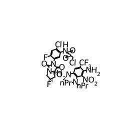 CCCN(CCC)c1c([N+](=O)[O-])cc(C(F)(F)F)c(N)c1[N+](=O)[O-].O=C1[C@H]2C[C@H](F)CN2C(=O)N1c1cc(NS(=O)(=O)CCl)c(Cl)cc1F